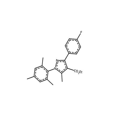 CCOC(=O)c1c(-c2ccc(F)cc2)nn(-c2c(C)cc(C)cc2C)c1C